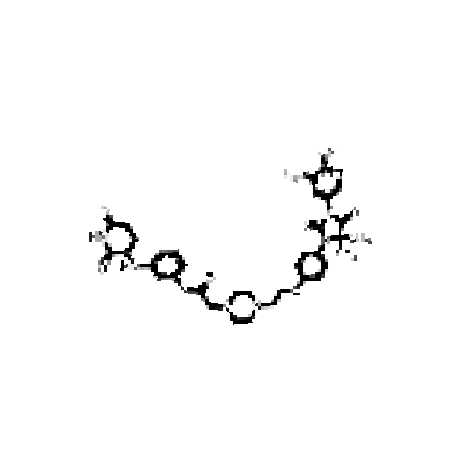 CC1(C)C(=O)N(c2cnc(C#N)c(C(F)(F)F)c2)C(=S)N1c1ccc(OCCN2CCN(CC(=O)Nc3cccc(NC4CCC(=O)NC4=O)c3)CC2)cc1